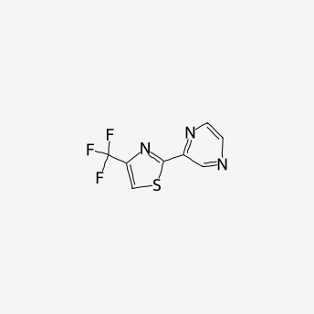 FC(F)(F)c1csc(-c2cnccn2)n1